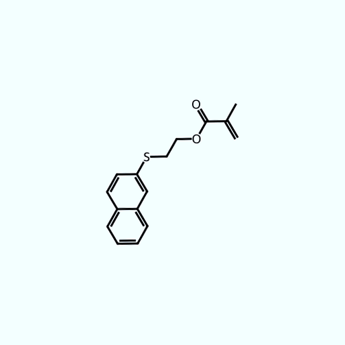 C=C(C)C(=O)OCCSc1ccc2ccccc2c1